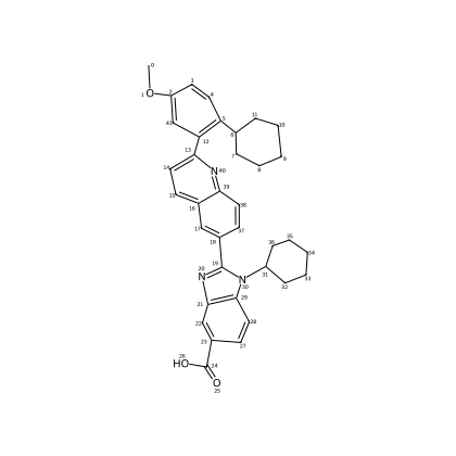 COc1ccc(C2CCCCC2)c(-c2ccc3cc(-c4nc5cc(C(=O)O)ccc5n4C4CCCCC4)ccc3n2)c1